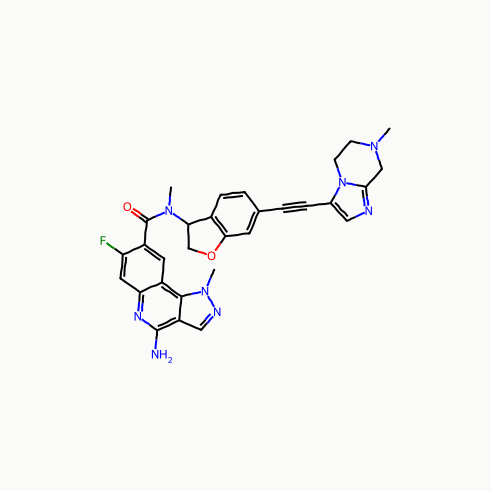 CN1CCn2c(C#Cc3ccc4c(c3)OCC4N(C)C(=O)c3cc4c(cc3F)nc(N)c3cnn(C)c34)cnc2C1